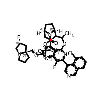 CC1Oc2nc(-c3cncc4cccc(Cl)c34)c(F)c3nc(OC[C@@]45CCCN4C[C@H](F)C5)nc(c23)N2C[C@H]3CC[C@@H](C12)N3C(=O)OC(C)(C)C